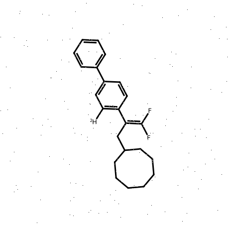 [2H]c1cc(-c2ccccc2)ccc1C(CC1CCCCCCC1)=C(F)F